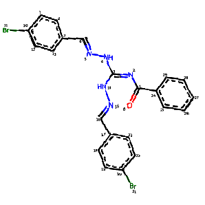 O=C(N=C(N/N=C/c1ccc(Br)cc1)N/N=C/c1ccc(Br)cc1)c1ccccc1